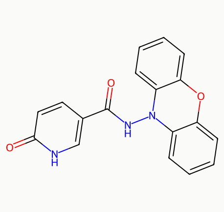 O=C(NN1c2ccccc2Oc2ccccc21)c1ccc(=O)[nH]c1